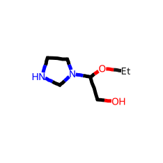 CCOC(CO)N1CCNC1